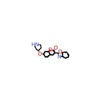 O=c1oc2cc(OC3CCNCC3)ccc2cc1-c1nc2ccccc2o1